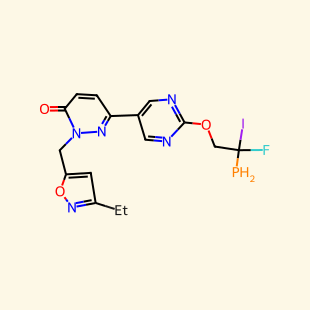 CCc1cc(Cn2nc(-c3cnc(OCC(F)(P)I)nc3)ccc2=O)on1